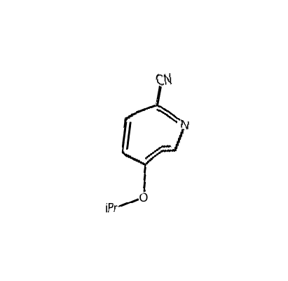 CC(C)Oc1ccc(C#N)nc1